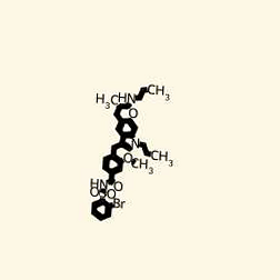 CCCNC(=O)C(C)Cc1ccc2c(c1)c(Cc1ccc(C(=O)NS(=O)(=O)c3ccccc3Br)cc1OC)cn2CCC